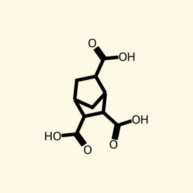 O=C(O)C1CC2CC1C(C(=O)O)C2C(=O)O